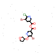 O=C(OC(=O)c1cnc(OC2CCOC2)c(Br)c1)c1cnc(Cl)c(Br)c1